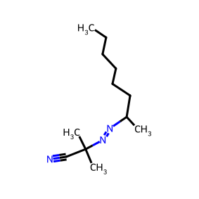 CCCCCCC(C)N=NC(C)(C)C#N